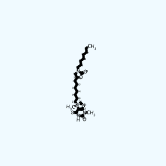 CCCCCCCCN1CC(CCCCCCC[N+]2(C)C=Nc3c2c(=O)[nH]c(=O)n3C)OC1=O